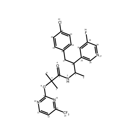 CC(NC(=O)C(C)(C)Oc1nccc(C(F)(F)F)n1)C(Cc1ccc(Cl)cc1)c1cncc(F)c1